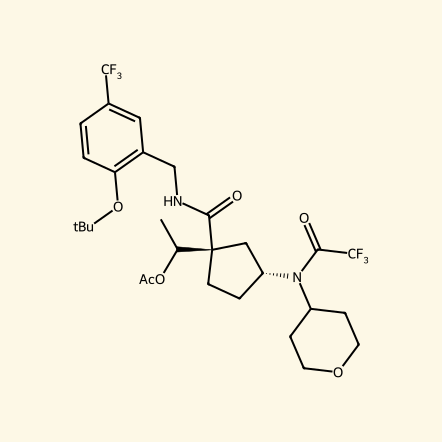 CC(=O)OC(C)[C@]1(C(=O)NCc2cc(C(F)(F)F)ccc2OC(C)(C)C)CC[C@@H](N(C(=O)C(F)(F)F)C2CCOCC2)C1